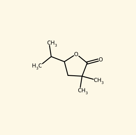 CC(C)C1CC(C)(C)C(=O)O1